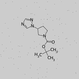 CC(C)(C)OC(=O)N1CCC(n2cncn2)C1